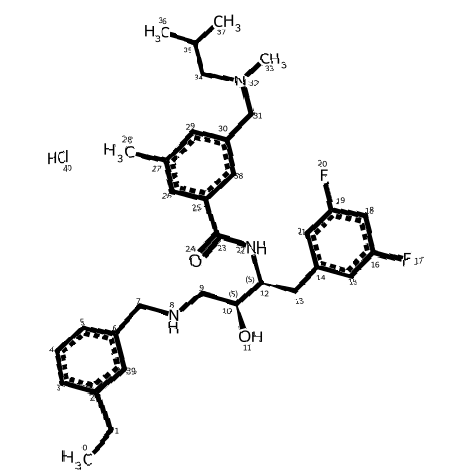 CCc1cccc(CNC[C@H](O)[C@H](Cc2cc(F)cc(F)c2)NC(=O)c2cc(C)cc(CN(C)CC(C)C)c2)c1.Cl